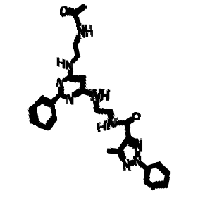 CC(=O)NCCNc1cc(NCCNC(=O)c2nn(-c3ccccc3)nc2C)nc(-c2ccccc2)n1